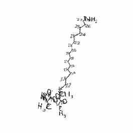 CCC(=O)[O-].CCC(=O)[O-].CCCCCCCCCCCCCCCCCCN.[K+].[K+]